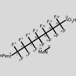 CCCCCC(F)(F)C(F)(F)C(F)(F)C(F)(F)C(F)(F)C(F)(F)C(F)(F)S(=O)(=O)O.CNC